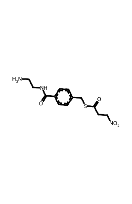 NCCNC(=O)c1ccc(CSC(=O)CC[N+](=O)[O-])cc1